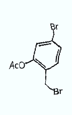 CC(=O)Oc1cc(Br)ccc1CBr